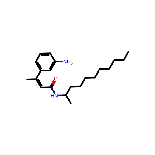 CCCCCCCCCC(C)NC(=O)/C=C(/C)c1cccc(N)c1